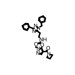 Cn1ncc(C(=O)N2CCC2)c1OC(=O)NCCc1nc(-c2ccccc2)nn1Cc1ccccc1